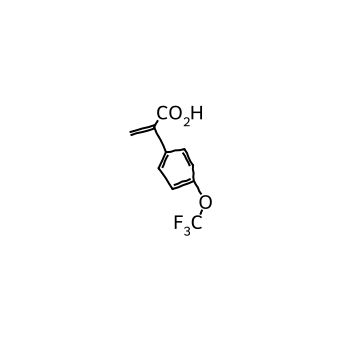 C=C(C(=O)O)c1ccc(OC(F)(F)F)cc1